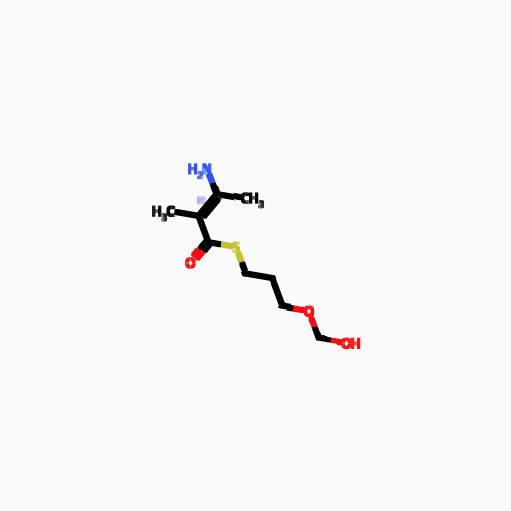 C/C(N)=C(/C)C(=O)SCCCOCO